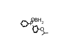 BO[P@](c1ccccc1)c1cccc(OC(C)C)c1